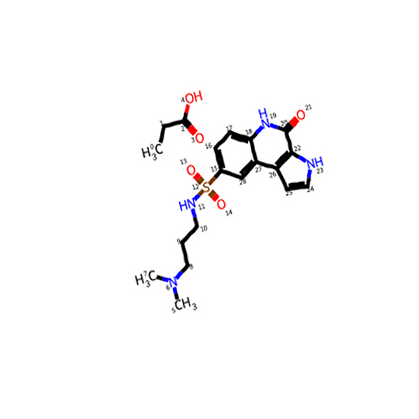 CCC(=O)O.CN(C)CCCNS(=O)(=O)c1ccc2[nH]c(=O)c3[nH]ccc3c2c1